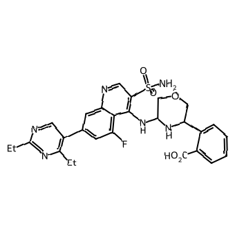 CCc1ncc(-c2cc(F)c3c(NC4COCC(c5ccccc5C(=O)O)N4)c(S(N)(=O)=O)cnc3c2)c(CC)n1